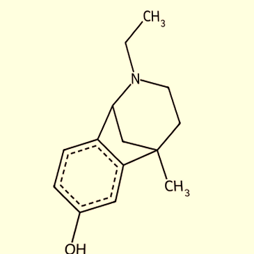 CCN1CCC2(C)CC1c1ccc(O)cc12